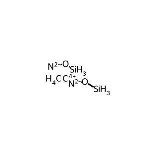 C.[C+4].[N-2]O[SiH3].[N-2]O[SiH3]